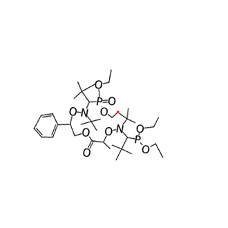 CCOP(OCC)C(N(OC(C)C(=O)OCC(ON(C(C(C)(C)C)P(=O)(OCC)OCC)C(C)(C)C)c1ccccc1)C(C)(C)C)C(C)(C)C